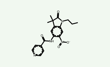 CCCN1C(=O)C(C)(C)c2cc(NC(=O)c3ccncc3)c([N+](=O)[O-])cc21